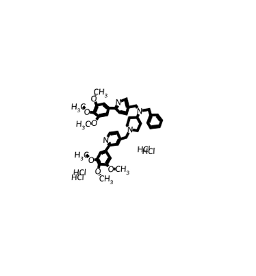 COc1cc(-c2ccc(CN(Cc3ccccc3)C3CCN(Cc4ccnc(-c5cc(OC)c(OC)c(OC)c5)c4)CC3)cn2)cc(OC)c1OC.Cl.Cl.Cl.Cl